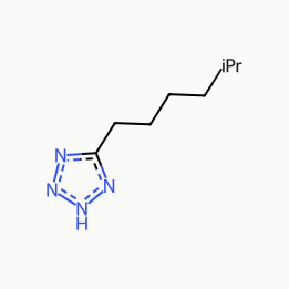 CC(C)CCCCc1nn[nH]n1